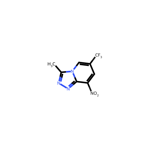 Cc1nnc2c([N+](=O)[O-])cc(C(F)(F)F)cn12